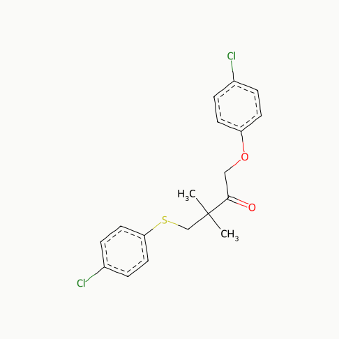 CC(C)(CSc1ccc(Cl)cc1)C(=O)COc1ccc(Cl)cc1